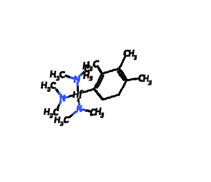 CC1=C(C)C(C)=[C]([Hf]([N](C)C)([N](C)C)[N](C)C)CC1